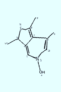 CC1=CN(O)C=C2C1=C(C)SC2C